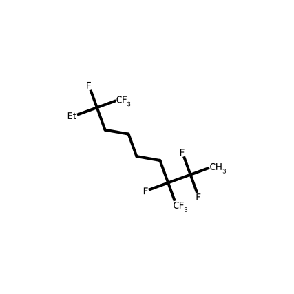 CCC(F)(CCCCC(F)(C(C)(F)F)C(F)(F)F)C(F)(F)F